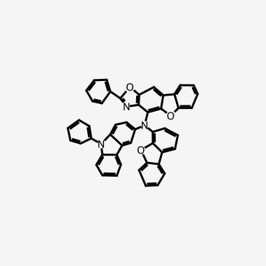 c1ccc(-c2nc3c(N(c4ccc5c(c4)c4ccccc4n5-c4ccccc4)c4cccc5c4oc4ccccc45)c4oc5ccccc5c4cc3o2)cc1